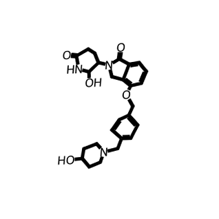 O=C1CCC(N2Cc3c(OCc4ccc(CN5CCC(O)CC5)cc4)cccc3C2=O)C(O)N1